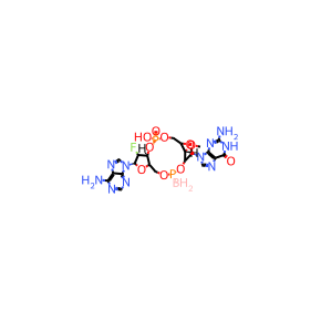 B[P@]1OCC2O[C@@H](n3cnc4c(N)ncnc43)C(F)[C@H]2OP(=O)(O)OCC2O[C@@H](n3cnc4c(=O)[nH]c(N)nc43)C(O1)[C@H]2OC